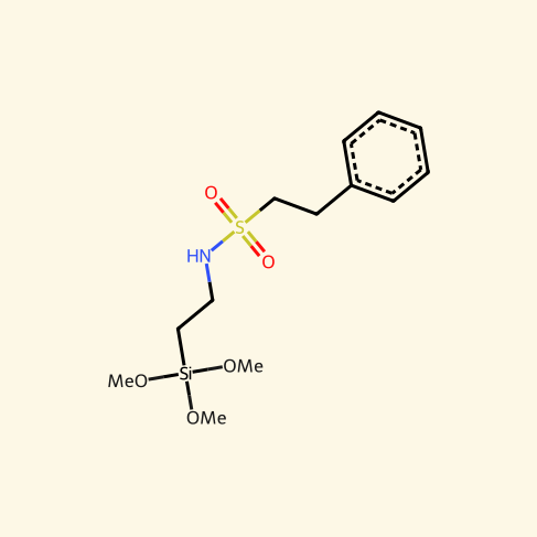 CO[Si](CCNS(=O)(=O)CCc1ccccc1)(OC)OC